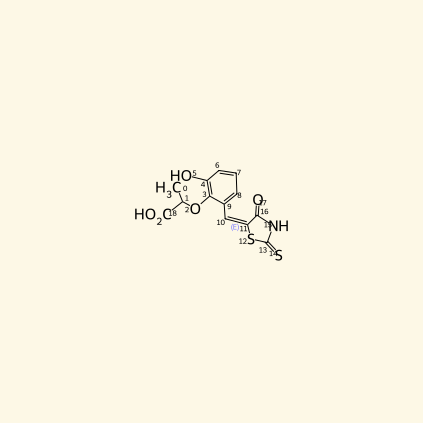 CC(Oc1c(O)cccc1/C=C1/SC(=S)NC1=O)C(=O)O